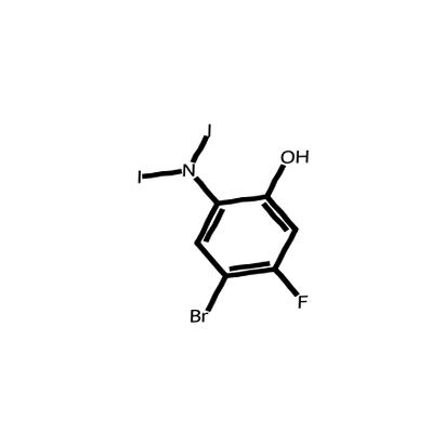 Oc1cc(F)c(Br)cc1N(I)I